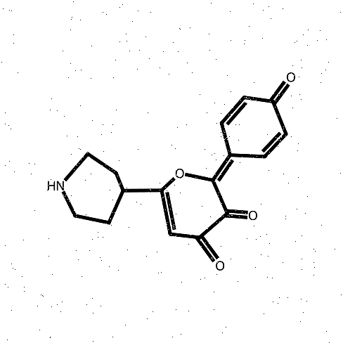 O=C1C=CC(=C2OC(C3CCNCC3)=CC(=O)C2=O)C=C1